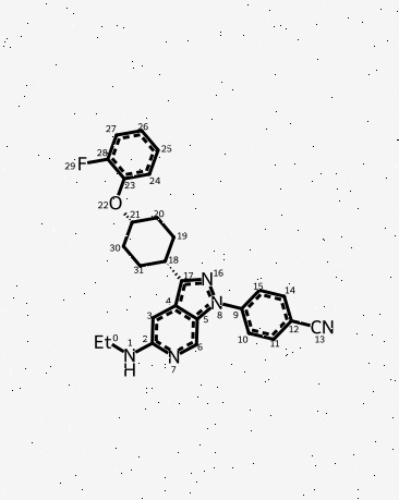 CCNc1cc2c(cn1)n(-c1ccc(C#N)cc1)nc2[C@H]1CC[C@@H](Oc2ccccc2F)CC1